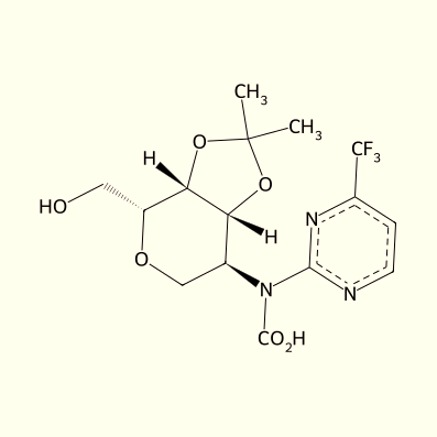 CC1(C)O[C@@H]2[C@H](O1)[C@@H](N(C(=O)O)c1nccc(C(F)(F)F)n1)CO[C@@H]2CO